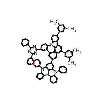 Cc1cc(C)cc(-c2ccc3c(c2)c2cc(-c4cc(C)cc(C)c4)ccc2n3-c2ccc(-c3nc(-c4ccccc4)nc(-c4ccccc4)n3)cc2-c2cccc(-c3cc4c5c(c3)N(c3ccccc3)c3ccccc3B5c3ccccc3N4c3ccccc3)c2)c1